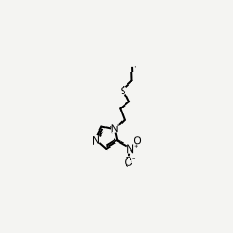 [CH2]CSCCCn1cncc1[N+](=O)[O-]